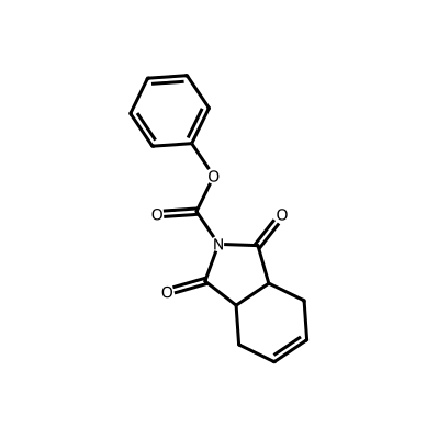 O=C(Oc1ccccc1)N1C(=O)C2CC=CCC2C1=O